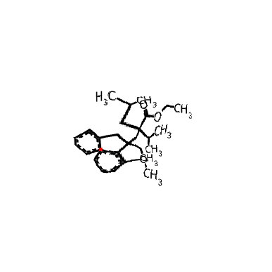 CCOC(=O)C(CC(C)C)(C(C)C)C(CC)(Cc1ccccc1)c1ccccc1OC